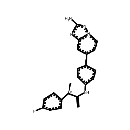 C=C(Nc1ccc(-c2ccn3nc(N)nc3c2)cc1)[C@H](C)c1ccc(F)cc1